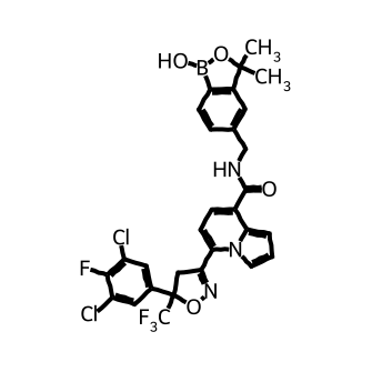 CC1(C)OB(O)c2ccc(CNC(=O)c3ccc(C4=NOC(c5cc(Cl)c(F)c(Cl)c5)(C(F)(F)F)C4)n4cccc34)cc21